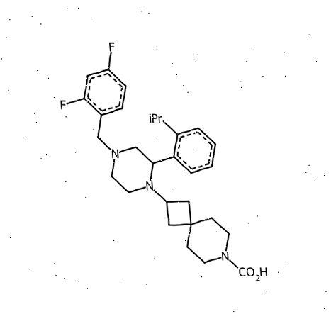 CC(C)c1ccccc1C1CN(Cc2ccc(F)cc2F)CCN1C1CC2(CCN(C(=O)O)CC2)C1